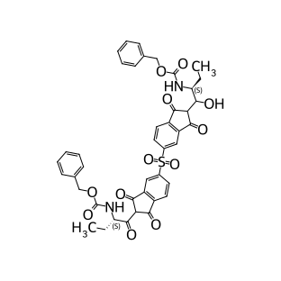 CC[C@H](NC(=O)OCc1ccccc1)C(=O)C1C(=O)c2ccc(S(=O)(=O)c3ccc4c(c3)C(=O)C(C(O)[C@H](CC)NC(=O)OCc3ccccc3)C4=O)cc2C1=O